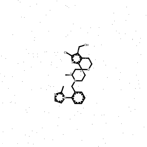 Cc1nccn1-c1ccccc1CN1CC[C@]2(C[C@@H]1C)OCCc1c2sc(Cl)c1CO